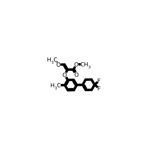 CO/C=C(\Oc1cc(C2=CCC(F)(F)CC2)ccc1C)C(=O)OC